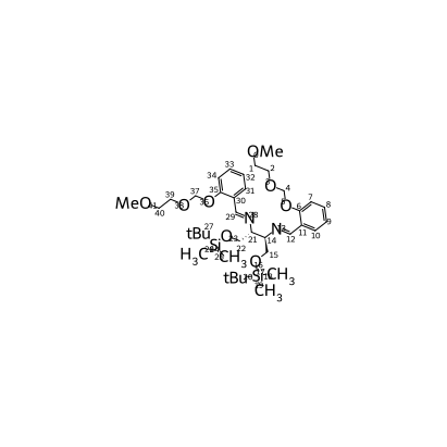 COCCOCOc1ccccc1C=N[C@@H](CO[Si](C)(C)C(C)(C)C)[C@H](CO[Si](C)(C)C(C)(C)C)N=Cc1ccccc1OCOCCOC